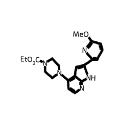 CCOC(=O)N1CCN(c2ccnc3[nH]c(-c4cccc(OC)n4)cc23)CC1